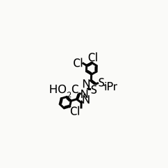 Cc1nn(-c2nc(-c3ccc(Cl)c(Cl)c3)c(SC(C)C)s2)c(C(=O)O)c1-c1ccccc1Cl